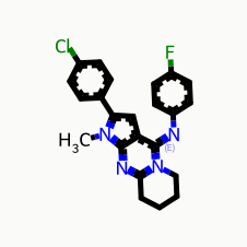 Cn1c(-c2ccc(Cl)cc2)cc2/c(=N\c3ccc(F)cc3)n3c(nc21)CCCC3